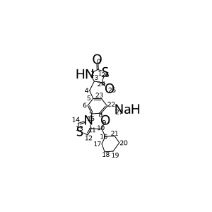 O=C1NC(Cc2ccc(OC(c3cscn3)C3CCCCC3)cc2)C(=O)S1.[NaH]